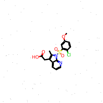 COc1ccc(Cl)c(S(=O)(=O)n2c(C)c(CC(=O)O)c3cccnc32)c1